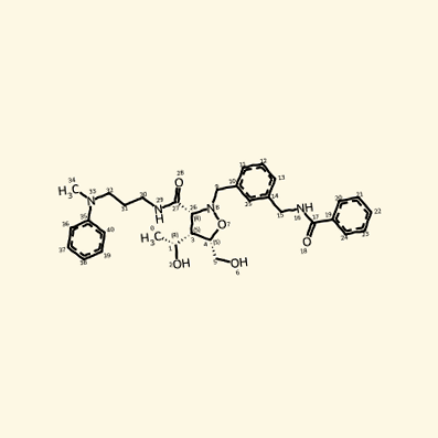 C[C@@H](O)[C@H]1[C@@H](CO)ON(Cc2cccc(CNC(=O)c3ccccc3)c2)[C@H]1C(=O)NCCCN(C)c1ccccc1